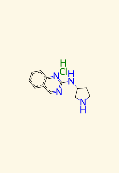 Cl.c1ccc2nc(N[C@@H]3CCNC3)ncc2c1